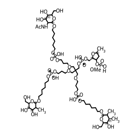 COP(=O)(O)OC1C[C@H](C)O[C@@H]1COP(=O)(O)OCC(COCCCOP(=O)(O)OCCCCCCO[C@@H]1OC(CO)[C@H](O)[C@H](C)C1C)(COCCCOP(=O)(O)OCCCCCCO[C@@H]1OC(CO)[C@H](O)[C@H](O)C1C)COCCCOP(=O)(O)OCCCCCCO[C@@H]1OC(CO)[C@H](O)[C@H](O)C1NC(C)=O